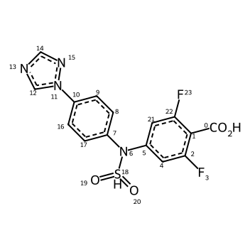 O=C(O)c1c(F)cc(N(c2ccc(-n3cncn3)cc2)[SH](=O)=O)cc1F